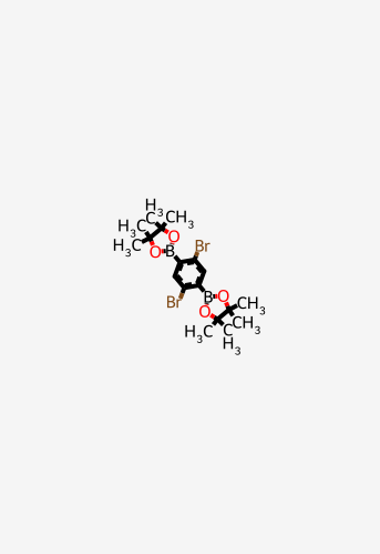 CC1(C)OB(c2cc(Br)c(B3OC(C)(C)C(C)(C)O3)cc2Br)OC1(C)C